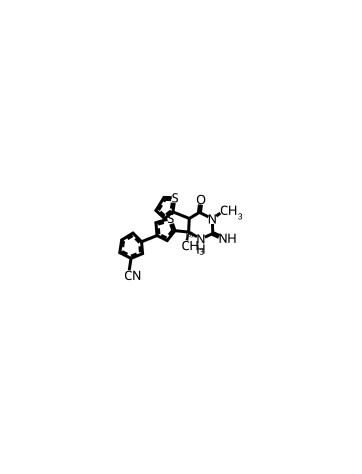 CN1C(=N)N[C@](C)(c2cc(-c3cccc(C#N)c3)cs2)C(c2cccs2)C1=O